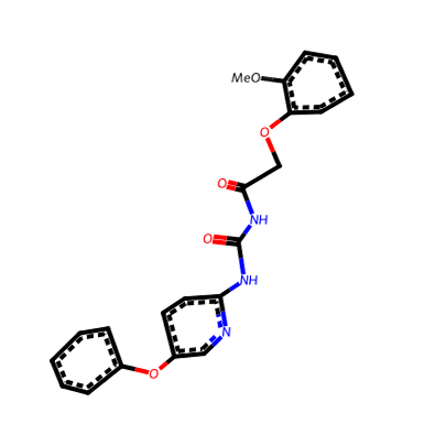 COc1ccccc1OCC(=O)NC(=O)Nc1ccc(Oc2ccccc2)cn1